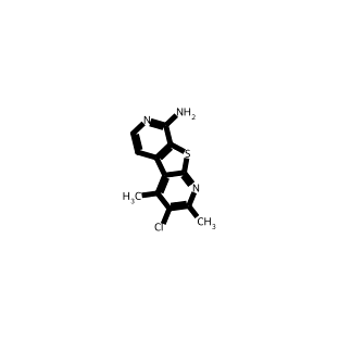 Cc1nc2sc3c(N)nccc3c2c(C)c1Cl